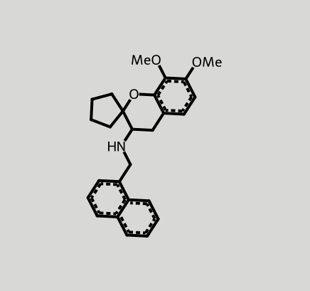 COc1ccc2c(c1OC)OC1(CCCC1)C(NCc1cccc3ccccc13)C2